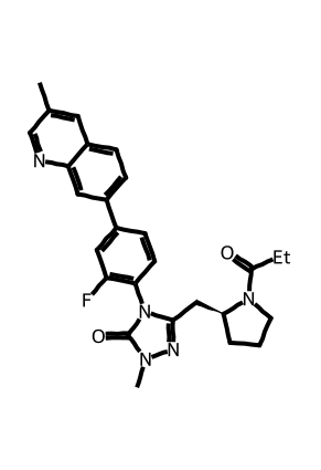 CCC(=O)N1CCC[C@H]1Cc1nn(C)c(=O)n1-c1ccc(-c2ccc3cc(C)cnc3c2)cc1F